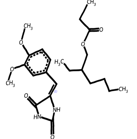 CCCCC(CC)COC(=O)CC.COc1ccc(/C=C2/NC(=O)NC2=O)cc1OC